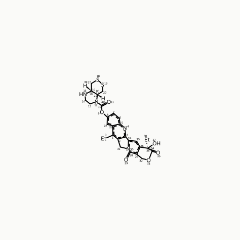 CCc1c2c(nc3ccc(OC(=O)N4CCN[C@@H]5CSSC[C@@H]54)cc13)-c1cc3c(c(=O)n1C2)COC(=O)[C@@]3(O)CC